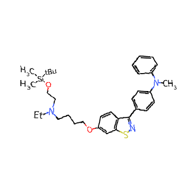 CCN(CCCCOc1ccc2c(-c3ccc(N(C)c4ccccc4)cc3)nsc2c1)CCO[Si](C)(C)C(C)(C)C